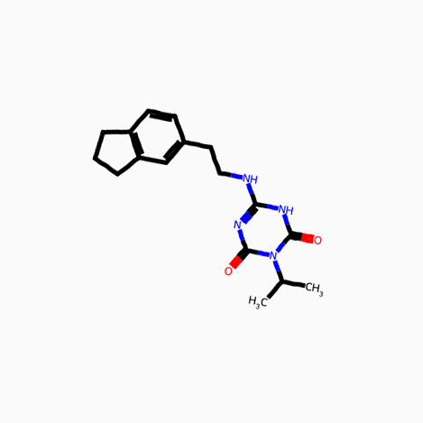 CC(C)n1c(=O)nc(NCCc2ccc3c(c2)CCC3)[nH]c1=O